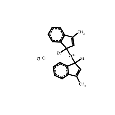 CC[C]1([Zr+2][C]2(CC)C=C(C)c3ccccc32)C=C(C)c2ccccc21.[Cl-].[Cl-]